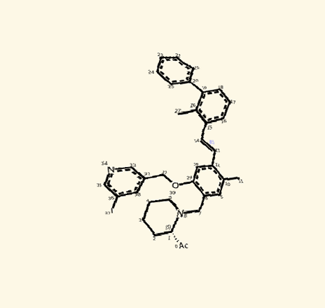 CC(=O)[C@@H]1CCCCN1Cc1cc(C)c(/C=C/c2cccc(-c3ccccc3)c2C)cc1OCc1cncc(I)c1